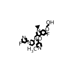 Cc1cc(CN(Cc2cn(C3CC3)c3cc(OCCO)c(F)cc3c2=O)[C@H]2CCCN(c3cncc(F)c3)C2)ccn1